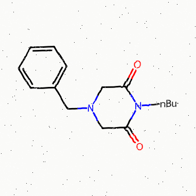 CCC[CH]N1C(=O)CN(Cc2ccccc2)CC1=O